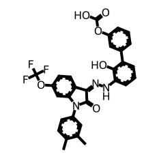 Cc1ccc(N2C(=O)C(=NNc3cccc(-c4cccc(OC(=O)O)c4)c3O)c3ccc(OC(F)(F)F)cc32)cc1C